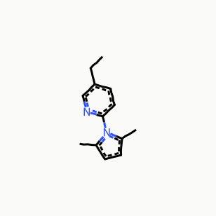 CCc1ccc(-n2c(C)ccc2C)nc1